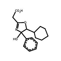 O=C(O)CC1=NC(O)(c2ccccc2)C(C2CCCCC2)O1